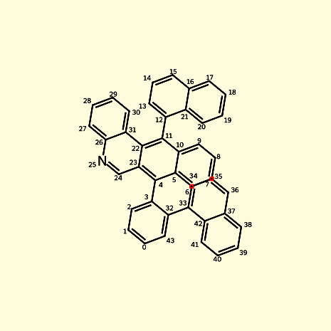 c1ccc(-c2c3ccccc3c(-c3cccc4ccccc34)c3c2cnc2ccccc23)c(-c2cccc3ccccc23)c1